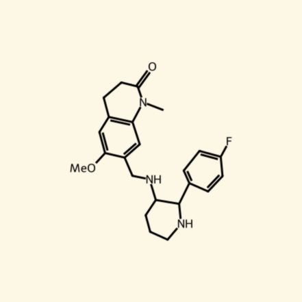 COc1cc2c(cc1CNC1CCCNC1c1ccc(F)cc1)N(C)C(=O)CC2